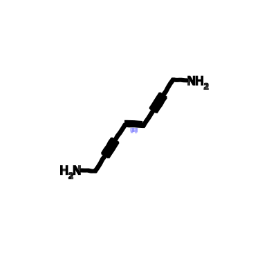 NCC#C/C=C/C#CCN